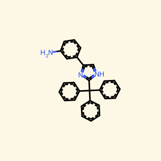 Nc1cccc(-c2c[nH]c(C(c3ccccc3)(c3ccccc3)c3ccccc3)n2)c1